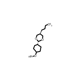 CCCOC1CCC([C@H]2OC[C@H](CCCC(F)(F)F)CO2)CC1